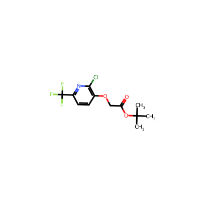 CC(C)(C)OC(=O)COc1ccc(C(F)(F)F)nc1Cl